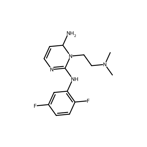 CN(C)CCN1C(Nc2cc(F)ccc2F)=NC=CC1N